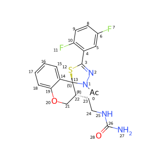 CC(=O)N1N=C(c2cc(F)ccc2F)S[C@@]12c1ccccc1OC[C@H]2CCNC(N)=O